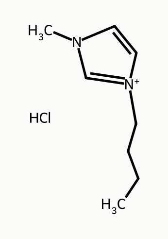 CCCC[n+]1ccn(C)c1.Cl